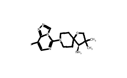 CC1(C)COC2(CCN(c3ncc(I)c4nncn34)CC2)[C@@H]1N